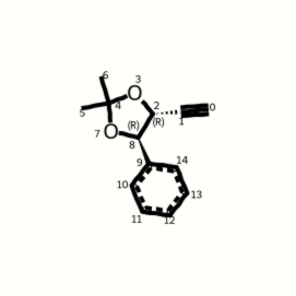 C#C[C@H]1OC(C)(C)O[C@@H]1c1ccccc1